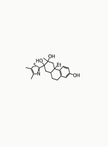 CCC12CC(C)(O)C(O)(c3nc(C)c(C)s3)CC1CCc1cc(O)ccc12